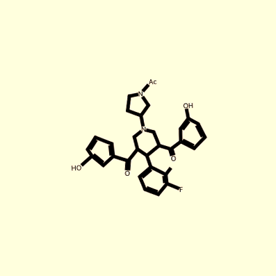 CC(=O)N1CCC(N2CC(C(=O)c3cccc(O)c3)C(c3cccc(F)c3C)C(C(=O)c3cccc(O)c3)C2)C1